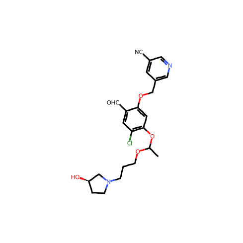 CC(OCCCN1CC[C@@H](O)C1)Oc1cc(OCc2cncc(C#N)c2)c(C=O)cc1Cl